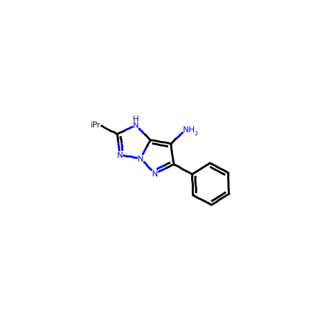 CC(C)c1nn2nc(-c3ccccc3)c(N)c2[nH]1